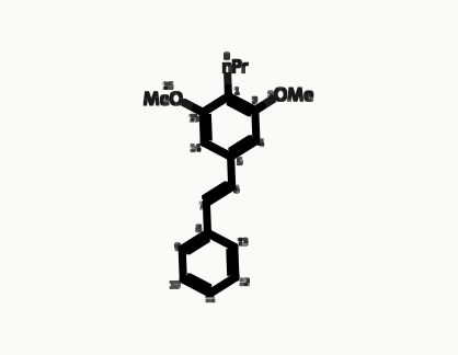 CCCc1c(OC)cc(C=Cc2ccccc2)cc1OC